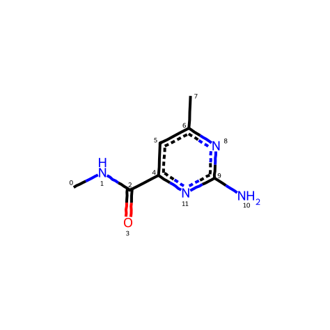 CNC(=O)c1cc(C)nc(N)n1